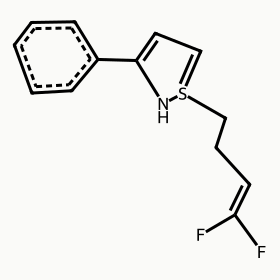 FC(F)=CCCS1=CC=C(c2ccccc2)N1